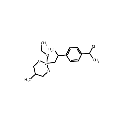 CCO[Si]1(CC(C)c2ccc(C(C)Cl)cc2)OCC(C)CO1